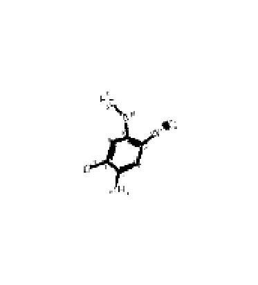 [C-]#[N+]c1cc(C)c(Cl)cc1OC